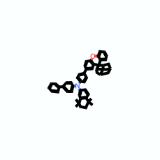 CC1(C)CCC(C)(C)c2cc(N(c3ccc(-c4ccccc4)cc3)c3ccc(-c4ccc5c(c4)C4(c6ccccc6O5)C5CC6CC7CC4C75C6)cc3)ccc21